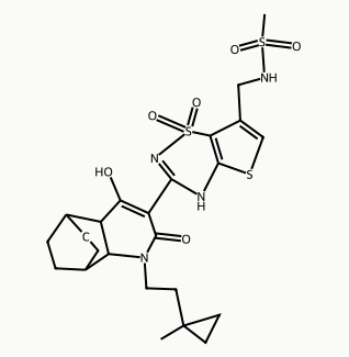 CC1(CCN2C(=O)C(C3=NS(=O)(=O)c4c(CNS(C)(=O)=O)csc4N3)=C(O)C3C4CCC(CC4)C32)CC1